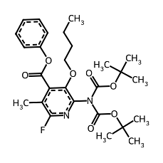 CCCCOc1c(N(C(=O)OC(C)(C)C)C(=O)OC(C)(C)C)nc(F)c(C)c1C(=O)Oc1ccccc1